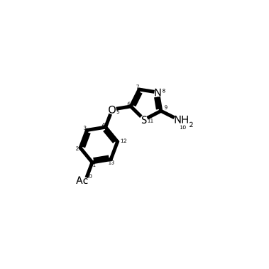 CC(=O)c1ccc(Oc2cnc(N)s2)cc1